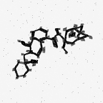 CC[C@@]1(C(=O)Nc2cccc3c(=O)n(CC4(O)CCCCC4)ccc23)CC2C[C@]23C[C@@]3(O)C1